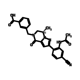 CC(=O)Nc1cc(C#N)ccc1-c1cc2n(n1)[C@@H](C)CN(Cc1cccc(C(=O)O)c1)C2=O